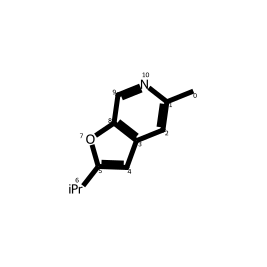 Cc1cc2cc(C(C)C)oc2cn1